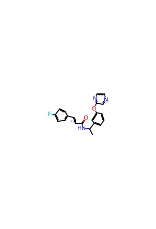 CC(NC(=O)/C=C/c1ccc(F)cc1)c1cccc(Oc2cnccn2)c1